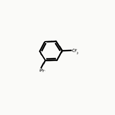 C[C](C)c1cccc(C(F)(F)F)c1